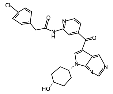 O=C(Cc1ccc(Cl)cc1)Nc1cc(C(=O)c2cn([C@H]3CC[C@@H](O)CC3)c3ncncc23)ccn1